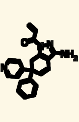 C=CC(=O)n1nc(N)c2c1CC(c1ccccc1)(c1ccncc1)C=C2